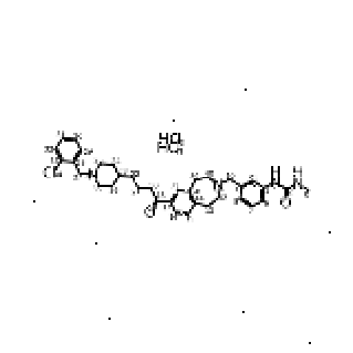 CNC(=O)Nc1cccc(CN2CCc3ccc(C(=O)CCCC4CCN(Cc5ccccc5Cl)CC4)cc3CC2)c1.Cl.Cl